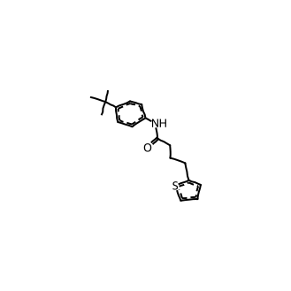 CC(C)(C)c1ccc(NC(=O)CCCc2cccs2)cc1